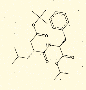 CC(C)C[C@H](CC(=O)OC(C)(C)C)C(=O)N[C@@H](Cc1ccccc1)C(=O)OC(C)C